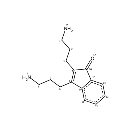 NCCCC1=C(CCCN)c2ccccc2C1=O